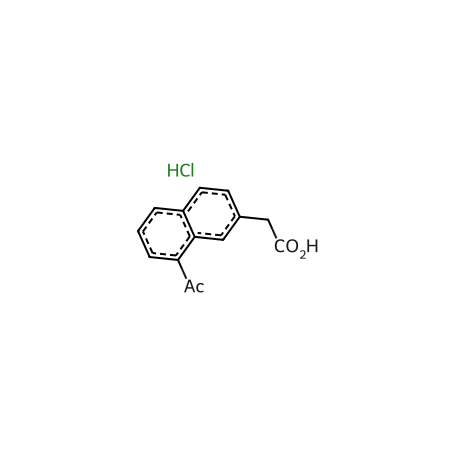 CC(=O)c1cccc2ccc(CC(=O)O)cc12.Cl